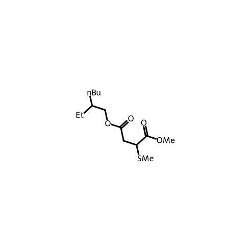 CCCCC(CC)COC(=O)CC(SC)C(=O)OC